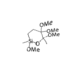 COC1(C)O[Si](C)(OC)CCC1(OC)OC